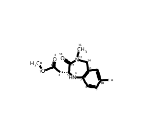 COC(=O)C[C@H]1Nc2ccc(I)cc2CN(C)C1=O